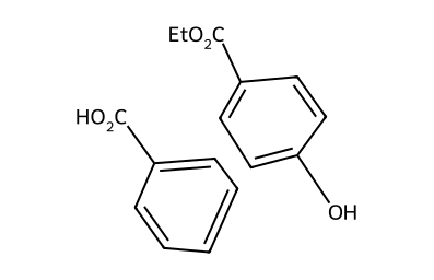 CCOC(=O)c1ccc(O)cc1.O=C(O)c1ccccc1